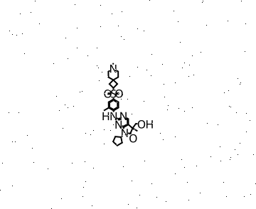 Cc1cc(S(=O)(=O)C2CC3(CCN(C)CC3)C2)ccc1Nc1ncc2c(n1)N(C1CCCC1)C(=O)C2(C)CO